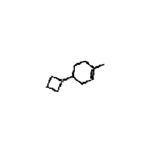 CC1=CCC(N2CCC2)CC1